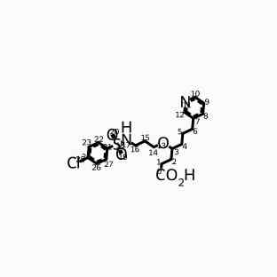 O=C(O)CCC(CCCc1cccnc1)OCCCNS(=O)(=O)c1ccc(Cl)cc1